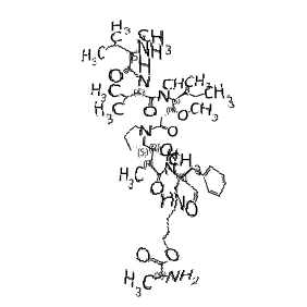 CCC(C)[C@@H]([C@@H](CC(=O)N1CCC[C@H]1[C@H](OC)[C@@H](C)C(=O)N[C@](C=O)(CNCCCOC(=O)[C@H](C)N)Cc1ccccc1)OC)N(C)C(=O)[C@@H](NC(=O)[C@@H](NC)C(C)C)C(C)C